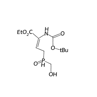 CCOC(=O)C(=CC[PH](=O)CO)NC(=O)OC(C)(C)C